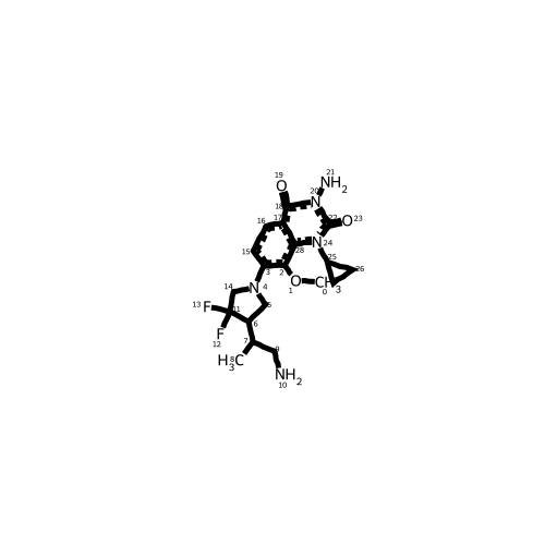 COc1c(N2CC(C(C)CN)C(F)(F)C2)ccc2c(=O)n(N)c(=O)n(C3CC3)c12